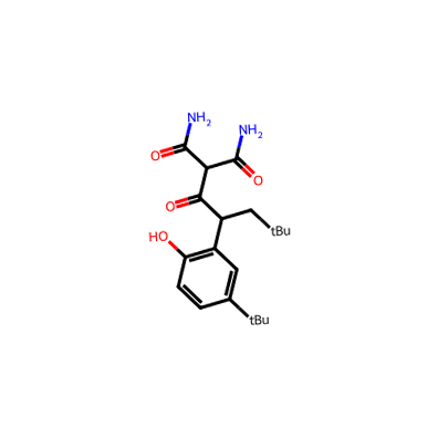 CC(C)(C)CC(C(=O)C(C(N)=O)C(N)=O)c1cc(C(C)(C)C)ccc1O